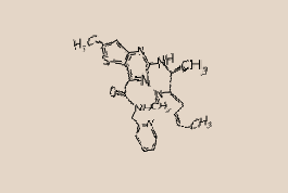 C=N/C(=C\C=C/C)[C@H](C)Nc1nc(C(=O)NCc2ccccn2)c2sc(C)cc2n1